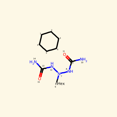 C1CCCCC1.CCCCCCN(NC(N)=O)NC(N)=O